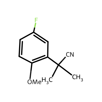 COc1ccc(F)cc1C(C)(C)C#N